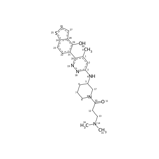 Cc1cc(NC2CCCN(C(=O)CCN(C)C)C2)nnc1-c1ccc2sccc2c1O